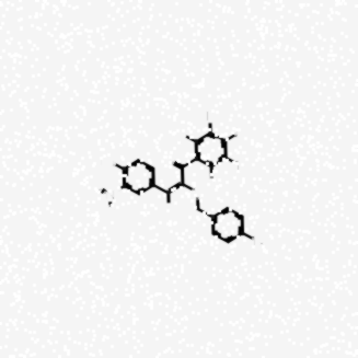 O=C(C(SCc1ccc(Br)cc1)=C(I)c1ccc(O)c([N+](=O)[O-])c1)c1c(F)c(F)c(F)c(F)c1F